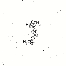 C[S+]([O-])c1ccc(C(=O)c2ccc3n2CCC3C(=O)OC(C)(C)C)cc1